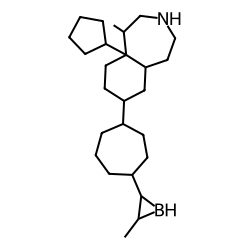 CC1BC1C1CCCC(C2CCC3(C4CCCC4)C(C)CNCCC3C2)CC1